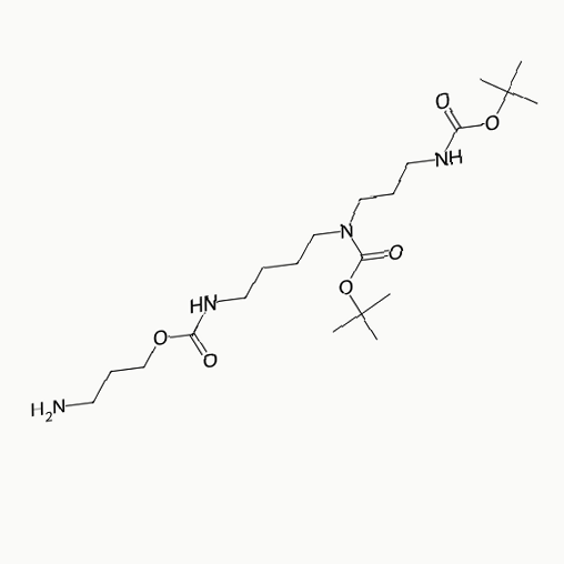 CC(C)(C)OC(=O)NCCCN(CCCCNC(=O)OCCCN)C(=O)OC(C)(C)C